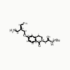 CC(C)(C)NC(=O)CN1CCc2cc(OC/C(=C\F)CN)ccc2C1=O